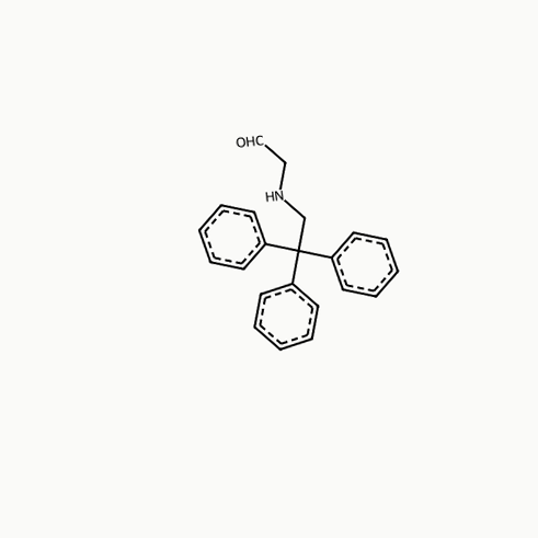 O=CCNCC(c1ccccc1)(c1ccccc1)c1ccccc1